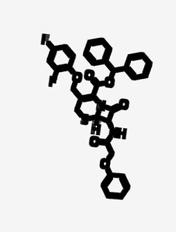 O=C(COc1ccccc1)NC1C(=O)N2C(C(=O)OC(c3ccccc3)c3ccccc3)=C(COc3ccc(F)cc3F)CS[C@@H]12